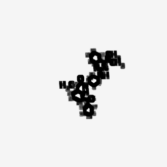 C[C@H](C(=O)N[C@H]1CC[C@@H](Nc2nc(N(C)C)c3ccccc3n2)CC1)c1cccc(C(=O)c2ccccc2)c1